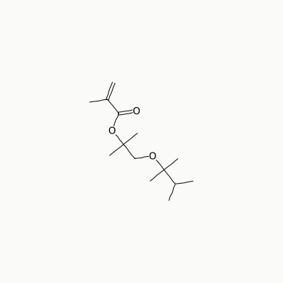 C=C(C)C(=O)OC(C)(C)COC(C)(C)C(C)C